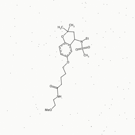 CCN(C1CC(C)(C)Oc2ccc(OCCCCC(=O)NCCOC)cc21)S(C)(=O)=O